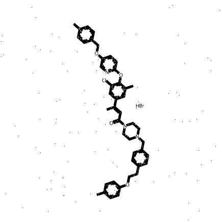 Br.C/C(=C\C(=O)N1CCN(Cc2ccc(CCOc3ccc(C)cc3)cc2)CC1)c1cc(C)c(Oc2ccc(OCc3ccc(C)cc3)cn2)c(Cl)c1